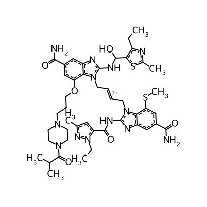 CCc1nc(C)sc1C(O)Nc1nc2cc(C(N)=O)cc(OCCCN3CCN(C(=O)C(C)C)CC3)c2n1C/C=C/Cn1c(NC(=O)c2cc(C)nn2CC)nc2cc(C(N)=O)cc(SC)c21